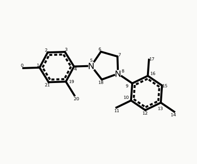 Cc1ccc(N2CCN(c3c(C)cc(C)cc3C)C2)c(C)c1